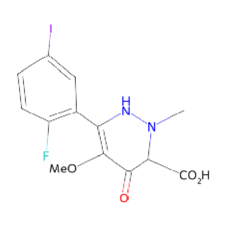 COC1=C(c2cc(I)ccc2F)NN(C)C(C(=O)O)C1=O